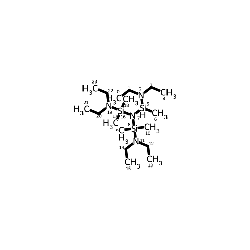 CCN(CC)[SiH](C)N([Si](C)(C)N(CC)CC)[Si](C)(C)N(CC)CC